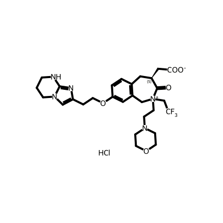 Cl.O=C([O-])C[C@@H]1Cc2ccc(OCCc3cn4c(n3)NCCC4)cc2C[N+](CCN2CCOCC2)(CC(F)(F)F)C1=O